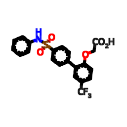 O=C(O)COc1ccc(C(F)(F)F)cc1-c1ccc(S(=O)(=O)Nc2ccccc2)cc1